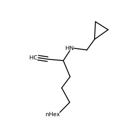 C#CC(CCCCCCCCC)NCC1CC1